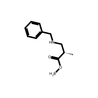 BOC(=O)[C@@H](C)CNCc1ccccc1